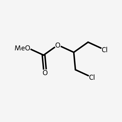 COC(=O)OC(CCl)CCl